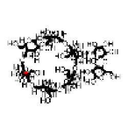 OC[C@H]1O[C@@H](O[C@H]2[C@H](O)[C@@H](O)C(O)O[C@@H]2CO)[C@H](O)[C@@H](O)[C@H]1O.OC[C@H]1O[C@@H]2O[C@H]3[C@H](O)[C@@H](O)[C@@H](O[C@H]4[C@H](O)[C@@H](O)[C@@H](O[C@H]5[C@H](O)[C@@H](O)[C@@H](O[C@H]6[C@H](O)[C@@H](O)[C@@H](O[C@H]7[C@H](O)[C@@H](O)[C@@H](O[C@H]1[C@H](O)[C@H]2O)O[C@@H]7CO)O[C@@H]6CO)O[C@@H]5CO)O[C@@H]4CO)O[C@@H]3CO